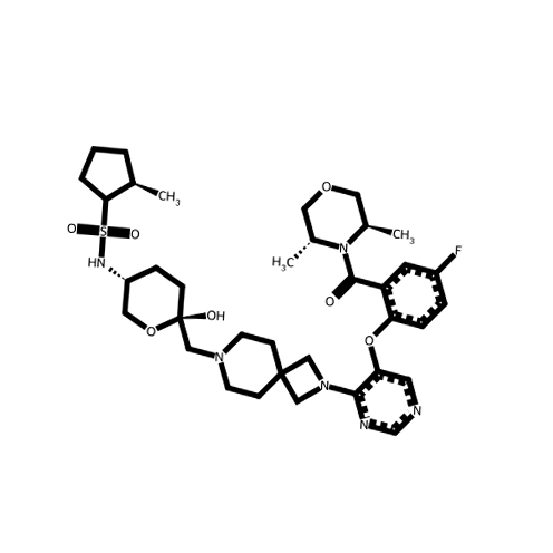 C[C@@H]1CCCC1S(=O)(=O)N[C@@H]1CC[C@](O)(CN2CCC3(CC2)CN(c2ncncc2Oc2ccc(F)cc2C(=O)N2[C@H](C)COC[C@H]2C)C3)OC1